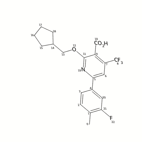 Cc1ccc(-c2cc(C(F)(F)F)c(C(=O)O)c(OCC3CCCC3)n2)cc1F